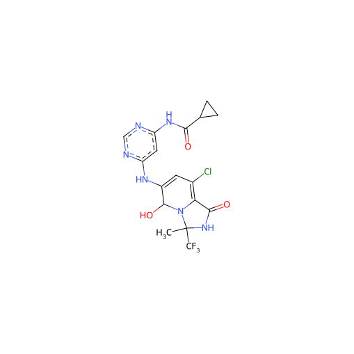 CC1(C(F)(F)F)NC(=O)C2=C(Cl)C=C(Nc3cc(NC(=O)C4CC4)ncn3)C(O)N21